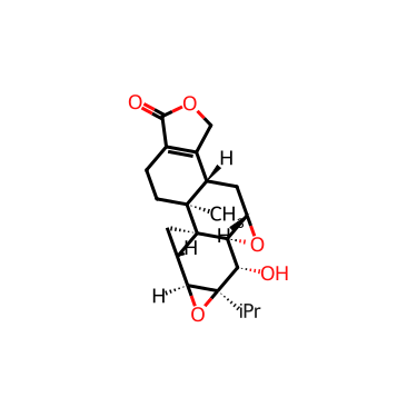 CC(C)[C@]12O[C@H]1[C@@H]1C[C@]13[C@]1(O[C@H]1C[C@H]1C4=C(CC[C@@]13C)C(=O)OC4)[C@@H]2O